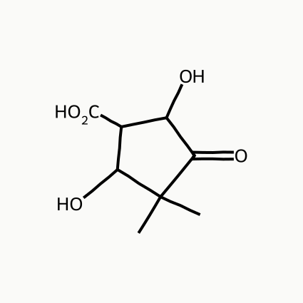 CC1(C)C(=O)C(O)C(C(=O)O)C1O